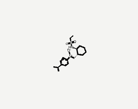 CCS(=O)(=O)N[C@H]1CCCC[C@@H]1C[S+]([O-])c1ccc(C(C)C)cc1